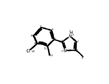 Cc1c[nH]c(-c2cccc(Cl)c2C)n1